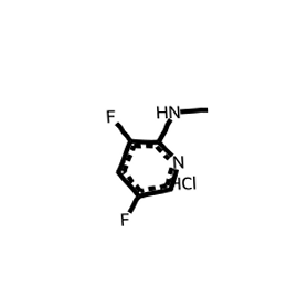 CNc1ncc(F)cc1F.Cl